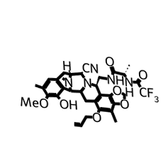 C=CCOc1c(C)c2c(c3c1CC1C4c5c(cc(C)c(OC)c5O)C[C@@H]([C@H](C#N)N1[C@H]3CNC(=O)[C@H](C)NC(=O)C(F)(F)F)N4C)OCO2